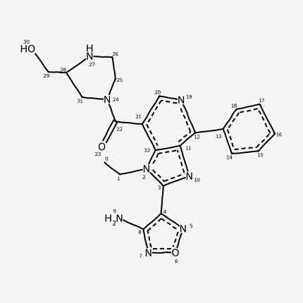 CCn1c(-c2nonc2N)nc2c(-c3ccccc3)ncc(C(=O)N3CCNC(CO)C3)c21